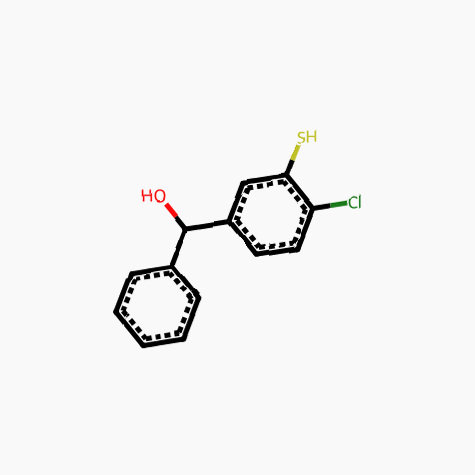 OC(c1ccccc1)c1ccc(Cl)c(S)c1